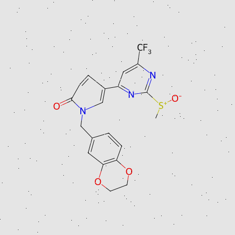 C[S+]([O-])c1nc(-c2ccc(=O)n(Cc3ccc4c(c3)OCCO4)c2)cc(C(F)(F)F)n1